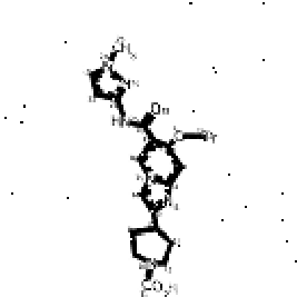 CC(C)Oc1cc2nc(C3CCN(C(=O)O)CC3)cn2cc1C(=O)Nc1ccn(C)n1